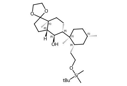 C[C@H]1CC[C@](C)([C@H]2CC[C@@]3(C)[C@@H](CCC34OCCO4)[C@@H]2O)[C@@H](CCO[Si](C)(C)C(C)(C)C)C1